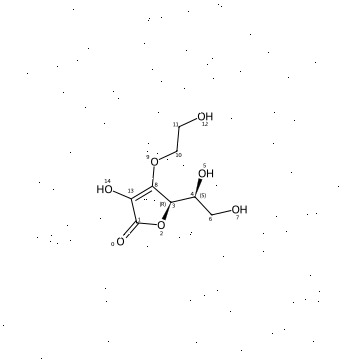 O=C1O[C@H]([C@@H](O)CO)C(OCCO)=C1O